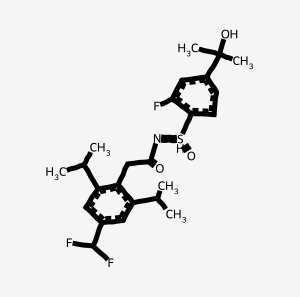 CC(C)c1cc(C(F)F)cc(C(C)C)c1CC(=O)N=[SH](=O)c1ccc(C(C)(C)O)cc1F